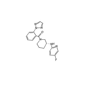 O=C(c1ccccc1-n1nccn1)N1CCC[C@@H](Nc2ccc(F)cn2)C1